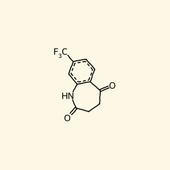 O=C1CCC(=O)c2ccc(C(F)(F)F)cc2N1